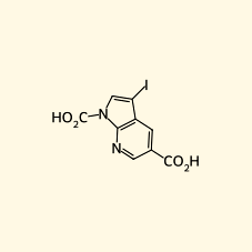 O=C(O)c1cnc2c(c1)c(I)cn2C(=O)O